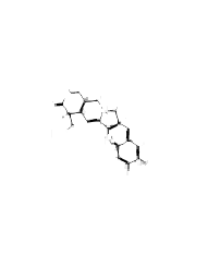 CC[C@@]1(O)C(=O)OCC2=C1C=C1c3nc4cc(F)c(O)cc4cc3CN1C2